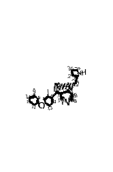 N=C(c1ccc(Oc2ccccc2)cc1)c1cnccc1NCC1CCCN1